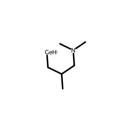 CC([CH2][GeH])CN(C)C